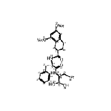 COc1cc2c(c(OC)c1)CC(C(=O)N[C@@H](Cc1ccccc1)C(=O)N[C@@H](CC(C)C)B(O)O)CC2